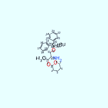 CC(OC1CCCCO1)C(N)CO[Si](c1ccccc1)(c1ccccc1)C(C)(C)C